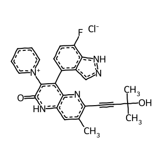 Cc1cc2[nH]c(=O)c(-[n+]3ccccc3)c(-c3ccc(F)c4[nH]ncc34)c2nc1C#CC(C)(C)O.[Cl-]